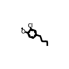 CCCCc1ccc(OC)c(Cl)c1